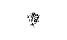 CCCCC(c1ccccc1F)C(OB([O-])O)(c1ccccc1F)c1ccccc1F.C[N+](C)(C)C